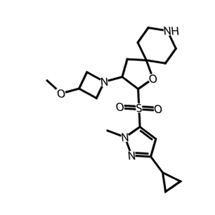 COC1CN(C2CC3(CCNCC3)OC2S(=O)(=O)c2cc(C3CC3)nn2C)C1